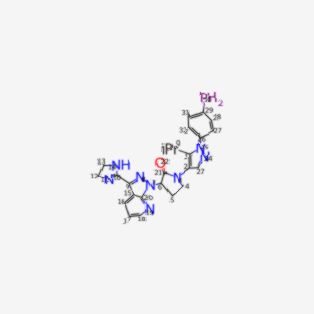 CC(C)c1c(N2CCC(n3nc(C4=NCCN4)c4cccnc43)C2=O)cnn1-c1ccc(P)cc1